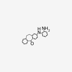 Nc1ccccc1Nc1ccc2c(c1)CCc1ccccc1C2=O